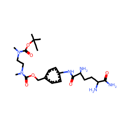 CN(CCN(C)C(=O)OC(C)(C)C)C(=O)OCc1ccc(NC(=O)[C@@H](N)CCC(N)C(N)=O)cc1